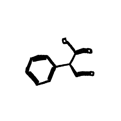 O=C[C@H](C(=O)Cl)c1ccccc1